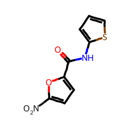 O=C(Nc1cccs1)c1ccc([N+](=O)[O-])o1